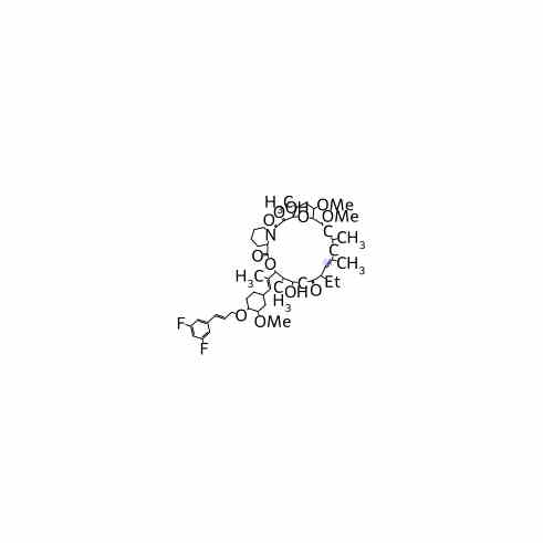 CCC1/C=C(\C)CC(C)CC(OC)C2OC(O)(C(=O)C(=O)N3CCCCC3C(=O)OC(C(C)=CC3CCC(OCC=Cc4cc(F)cc(F)c4)C(OC)C3)C(C)C(O)CC1=O)C(C)CC2OC